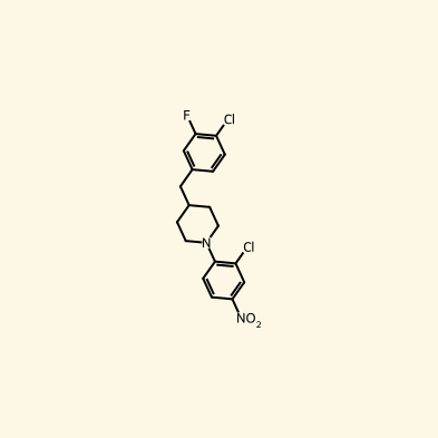 O=[N+]([O-])c1ccc(N2CCC(Cc3ccc(Cl)c(F)c3)CC2)c(Cl)c1